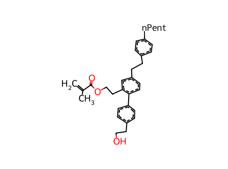 C=C(C)C(=O)OCCc1cc(CCc2ccc(CCCCC)cc2)ccc1-c1ccc(CCO)cc1